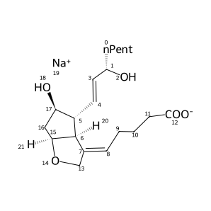 CCCCC[C@H](O)C=C[C@@H]1[C@H]2/C(=C\CCCC(=O)[O-])CO[C@H]2C[C@H]1O.[Na+]